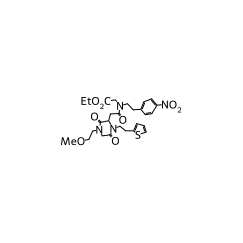 CCOC(=O)CN(CCc1ccc([N+](=O)[O-])cc1)C(=O)CC1C(=O)N(CCOC)CC(=O)N1CCc1cccs1